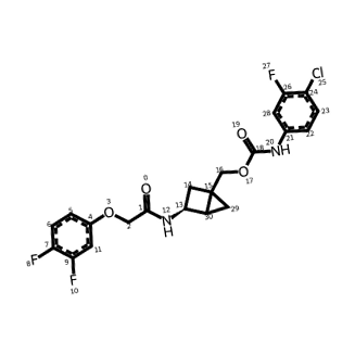 O=C(COc1ccc(F)c(F)c1)N[C@H]1CC2(COC(=O)Nc3ccc(Cl)c(F)c3)CC12